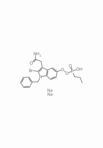 CCCP(=O)(O)OOc1ccc2c(c1)c(CC(N)=O)c(Br)n2Cc1ccccc1.[Na].[Na]